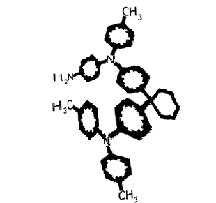 Cc1ccc(N(c2ccc(C)cc2)c2ccc(C3(c4ccc(N(c5ccc(C)cc5)c5ccc(N)cc5)cc4)CCCCC3)cc2)cc1